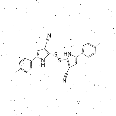 Cc1ccc(-c2cc(C#N)c(SSc3[nH]c(-c4ccc(C)cc4)cc3C#N)[nH]2)cc1